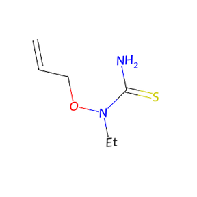 C=CCON(CC)C(N)=S